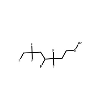 CC(=O)SCCC(F)(F)C(F)CC(F)(F)CF